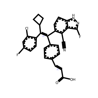 N#Cc1c(/C(=C(/c2ccc(F)cc2Cl)C2CCC2)c2ccc(/C=C/C(=O)O)cc2)ccc2[nH]nc(F)c12